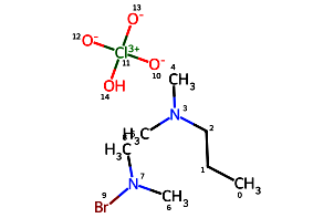 CCCN(C)C.CN(C)Br.[O-][Cl+3]([O-])([O-])O